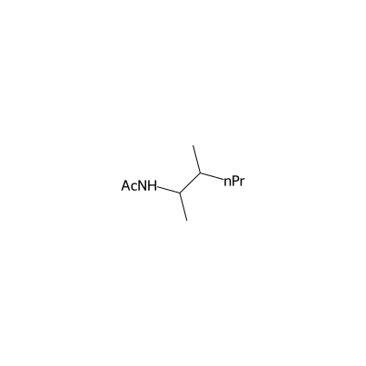 CCCC(C)C(C)NC(C)=O